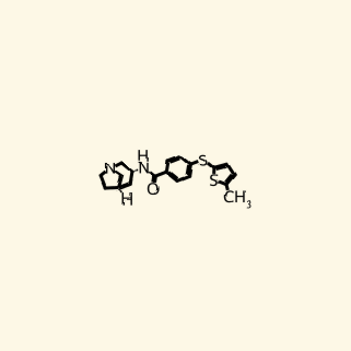 Cc1ccc(Sc2ccc(C(=O)N[C@@H]3C[C@H]4CCN(C4)C3)cc2)s1